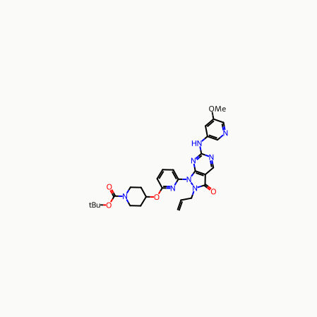 C=CCn1c(=O)c2cnc(Nc3cncc(OC)c3)nc2n1-c1cccc(OC2CCN(C(=O)OC(C)(C)C)CC2)n1